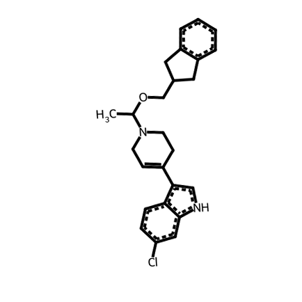 CC(OCC1Cc2ccccc2C1)N1CC=C(c2c[nH]c3cc(Cl)ccc23)CC1